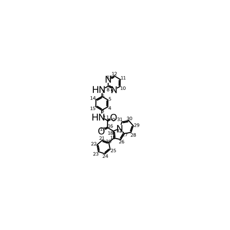 O=C(Nc1ccc(Nc2ncccn2)cc1)C(=O)c1c(-c2ccccc2)cc2ccccn12